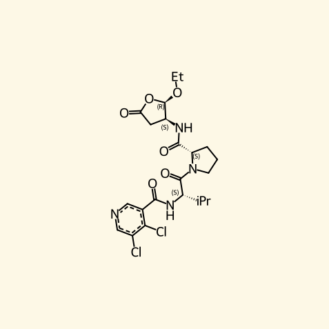 CCO[C@@H]1OC(=O)C[C@@H]1NC(=O)[C@@H]1CCCN1C(=O)[C@@H](NC(=O)c1cncc(Cl)c1Cl)C(C)C